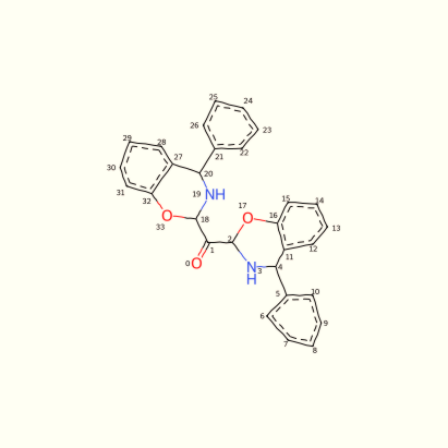 O=C(C1NC(c2ccccc2)c2ccccc2O1)C1NC(c2ccccc2)c2ccccc2O1